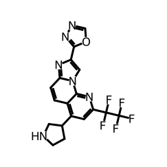 FC(F)(F)C(F)(F)c1cc(C2CCNC2)c2ccc3nc(-c4nnco4)cn3c2n1